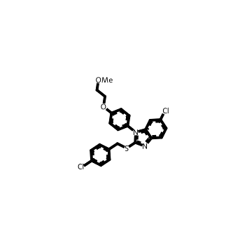 COCCOc1ccc(-n2c(SCc3ccc(Cl)cc3)nc3ccc(Cl)cc32)cc1